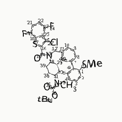 CSc1ccccc1-c1cccc(CN(C(=O)c2sc3c(F)ccc(F)c3c2Cl)[C@H]2CC[C@H](N(C)C(=O)OC(C)(C)C)CC2)c1